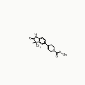 CC(C)(C)OC(=O)N1CC=C(c2ccc3c(c2)C(C)(C(F)(F)F)C(=O)N3)CC1